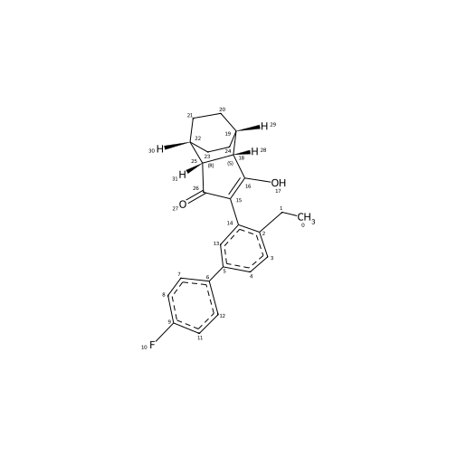 CCc1ccc(-c2ccc(F)cc2)cc1C1=C(O)[C@H]2[C@H]3CC[C@H](CC3)[C@H]2C1=O